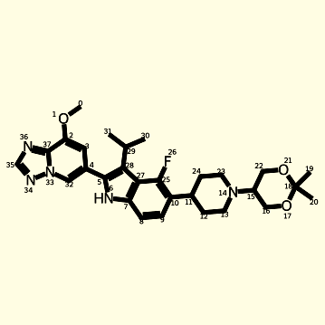 COc1cc(-c2[nH]c3ccc(C4CCN(C5COC(C)(C)OC5)CC4)c(F)c3c2C(C)C)cn2ncnc12